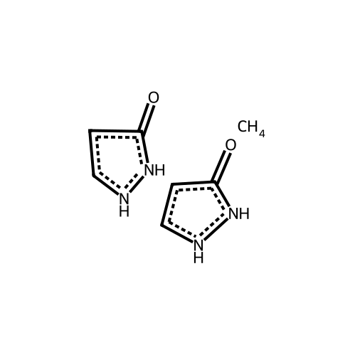 C.O=c1cc[nH][nH]1.O=c1cc[nH][nH]1